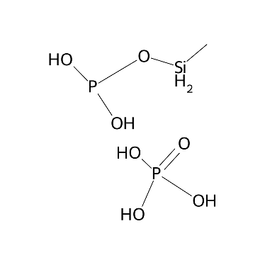 C[SiH2]OP(O)O.O=P(O)(O)O